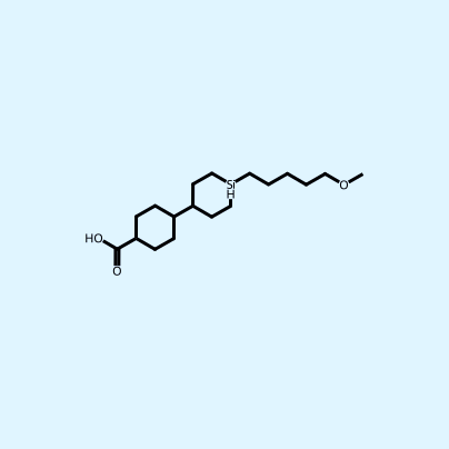 COCCCCC[SiH]1CCC(C2CCC(C(=O)O)CC2)CC1